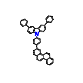 c1ccc(-c2ccc3c(c2)c2cc(-c4ccccc4)ccc2n3-c2ccc(-c3ccc4ccc5c6ccccc6ccc5c4c3)cc2)cc1